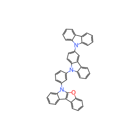 c1cc(-n2c3ccccc3c3cc(-n4c5ccccc5c5ccccc54)ccc32)cc(-n2c3ccccc3c3c4ccccc4oc32)c1